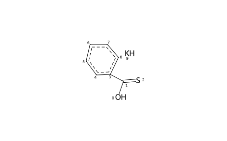 OC(=S)c1ccccc1.[KH]